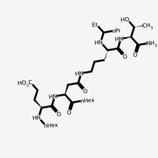 CCCCCCN[C@@H](CCC(=O)O)C(=O)N[C@@H](CC(=O)NCCC[C@H](NC(CC)CCC)C(=O)N[C@H](C(N)=O)[C@@H](C)O)C(=O)CCCCCC